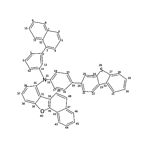 c1cc(-c2cccc3ccccc23)cc(N(c2ccc(-c3ccc4c(c3)sc3ccccc34)cc2)c2cccc3oc4c5ccccc5ccc4c23)c1